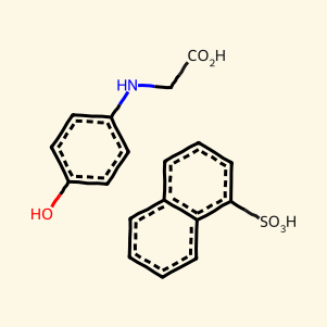 O=C(O)CNc1ccc(O)cc1.O=S(=O)(O)c1cccc2ccccc12